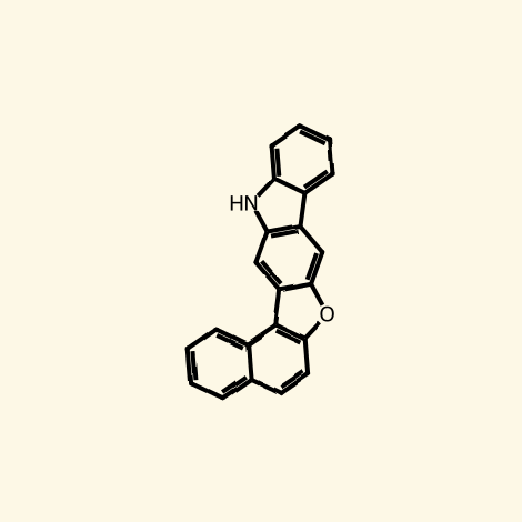 c1ccc2c(c1)ccc1oc3cc4c(cc3c12)[nH]c1ccccc14